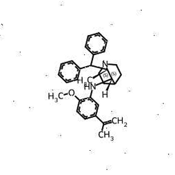 C=C(C)c1ccc(OC)c(N[C@H]2C3CCN(CC3)[C@@]2(C)C(c2ccccc2)c2ccccc2)c1